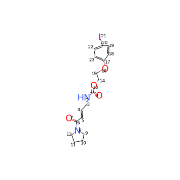 O=C(NC/C=C/C(=O)N1CCCC1)OCCOc1ccc(I)cc1